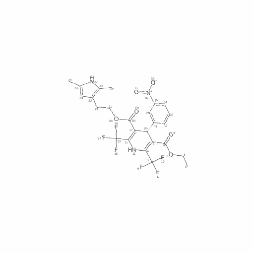 CCOC(=O)C1=C(C(F)(F)F)NC(C(F)(F)F)=C(C(=O)OCCc2cc(C)[nH]c2C)C1c1cccc([N+](=O)[O-])c1